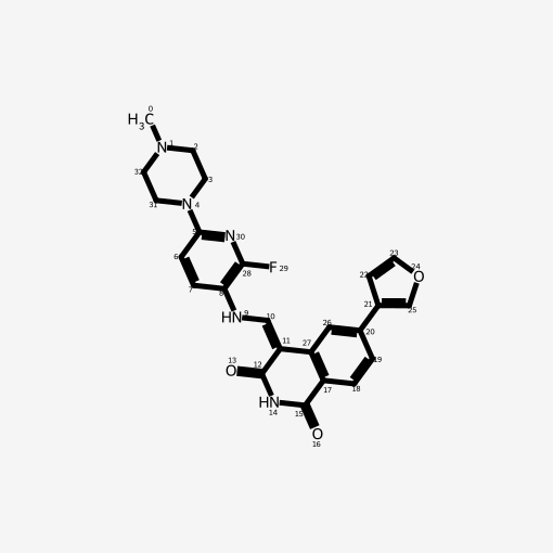 CN1CCN(c2ccc(NC=C3C(=O)NC(=O)c4ccc(-c5ccoc5)cc43)c(F)n2)CC1